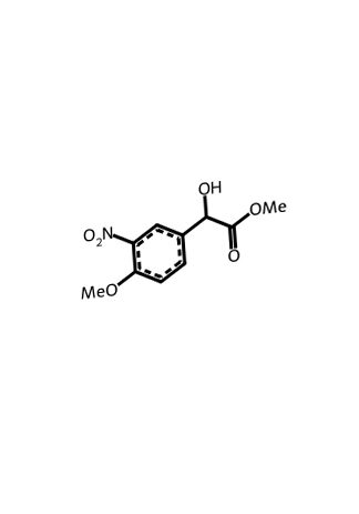 COC(=O)C(O)c1ccc(OC)c([N+](=O)[O-])c1